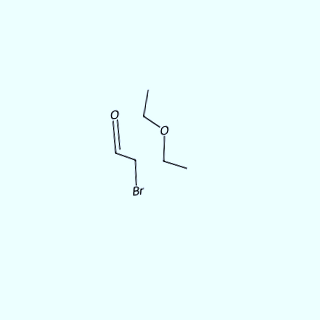 CCOCC.O=CCBr